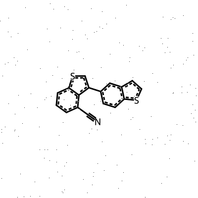 N#Cc1cccc2scc(-c3ccc4sccc4c3)c12